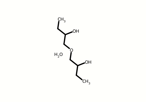 CCC(O)COCC(O)CC.O